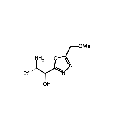 CC[C@H](N)C(O)c1nnc(COC)o1